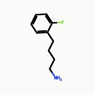 NCCCCc1ccccc1F